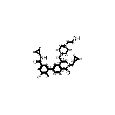 Cc1c(F)cc(C(=O)NC2CC2)cc1-c1ccc2c(=O)n(CC3CC3)cc(CN3CCN(CCO)CC3)c2c1